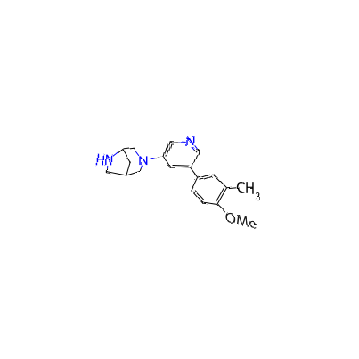 COc1ccc(-c2cncc(N3CC4CNC(C4)C3)c2)cc1C